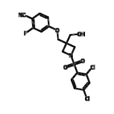 N#Cc1ccc(OCC2(CO)CN(S(=O)(=O)c3ccc(Cl)cc3Cl)C2)cc1F